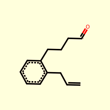 C=CCc1ccccc1CCC[C]=O